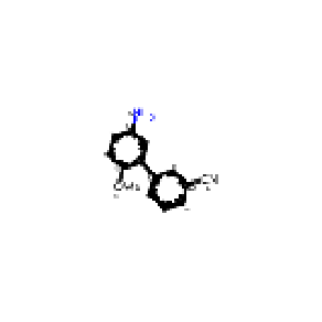 COc1ccc(N)cc1-c1cccc(C#N)c1